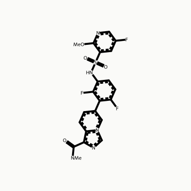 CNC(=O)c1ncn2cc(-c3c(F)ccc(NS(=O)(=O)c4cc(F)cnc4OC)c3F)ccc12